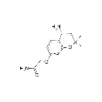 CC1(C)CC(N)c2ccc(OCC(N)=O)cc2O1